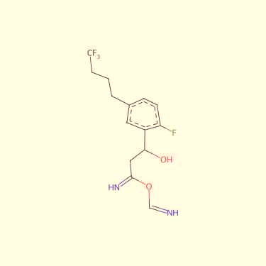 N=COC(=N)CC(O)c1cc(CCCC(F)(F)F)ccc1F